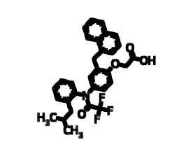 CC(C)Cc1ccccc1N(C(=O)C(F)(F)F)c1ccc(OCC(=O)O)c(Cc2cccc3ccccc23)c1